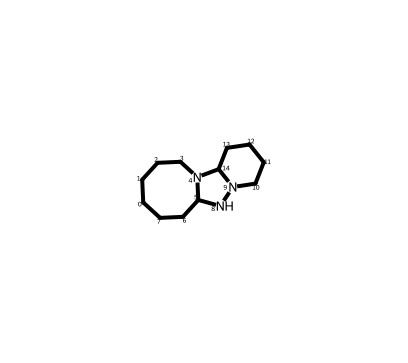 C1CCCN2C(CC1)NN1CCCCC12